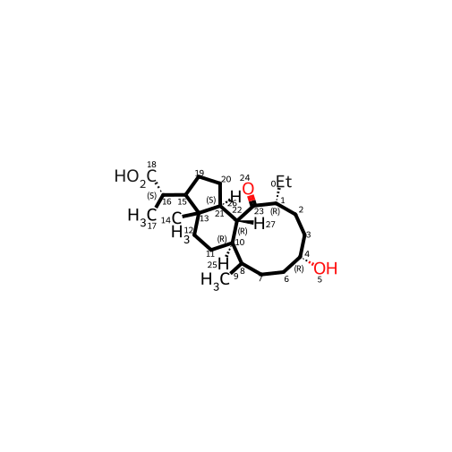 CC[C@@H]1CC[C@H](O)CCC(C)[C@H]2CCC3(C)C([C@H](C)C(=O)O)CC[C@H]3[C@@H]2C1=O